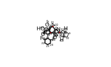 COc1cc2nc(N3[C@@H]4CC[C@H]3CC(OC(=O)c3c(-c5c(F)cccc5F)noc3C3CC3)C4)sc2cc1C(=O)O